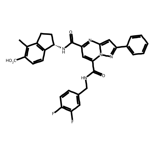 Cc1c(C(=O)O)ccc2c1CC[C@@H]2NC(=O)c1cc(C(=O)NCc2ccc(F)c(F)c2)n2nc(-c3ccccc3)cc2n1